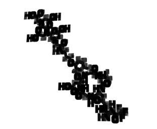 CC(C)[C@@H]1NC(=O)[C@@H](Cc2ccc(OCCCNC(=O)CN(CCN(CCN(CC(=O)O)CC(=O)O)CC(=O)O)CC(=O)O)cc2)NC(=O)[C@H](CC(=O)O)NC(=O)CNC(=O)[C@H](CCCNC(=N)NC(=O)C(F)(F)F)NC1=O